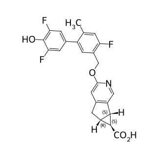 Cc1cc(F)c(COc2cc3c(cn2)[C@H]2[C@@H](C3)[C@@H]2C(=O)O)cc1-c1cc(F)c(O)c(F)c1